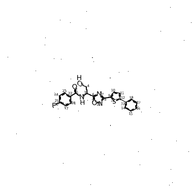 O=C(NC(CO)c1nc(-c2ccc(-c3ccccc3)s2)no1)c1ccc(F)cc1